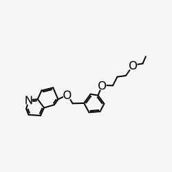 CCOCCCOc1cccc(COc2ccc3ncccc3c2)c1